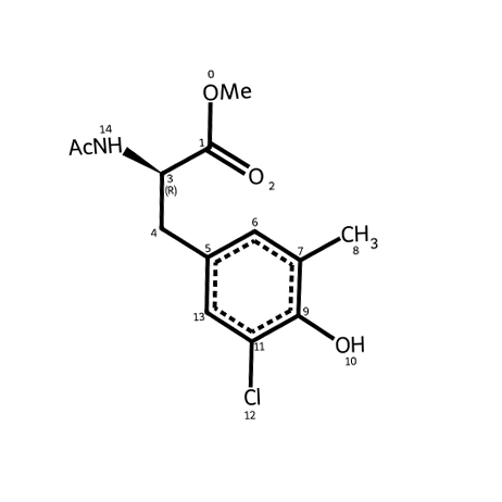 COC(=O)[C@@H](Cc1cc(C)c(O)c(Cl)c1)NC(C)=O